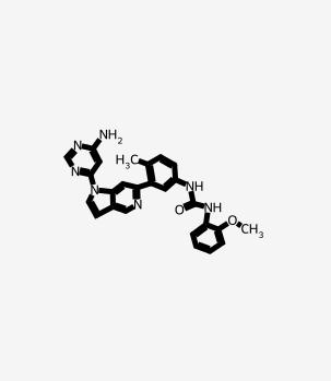 COc1ccccc1NC(=O)Nc1ccc(C)c(-c2cc3c(ccn3-c3cc(N)ncn3)cn2)c1